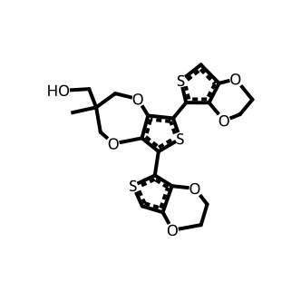 CC1(CO)COc2c(-c3scc4c3OCCO4)sc(-c3scc4c3OCCO4)c2OC1